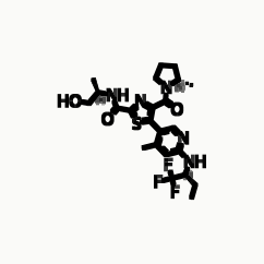 CC[C@H](Nc1cc(C)c(-c2sc(C(=O)N[C@H](C)CO)nc2C(=O)N2CCC[C@@H]2C)cn1)C(F)(F)F